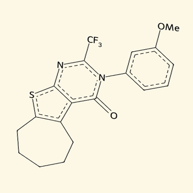 COc1cccc(-n2c(C(F)(F)F)nc3sc4c(c3c2=O)CCCCC4)c1